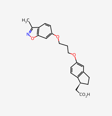 Cc1noc2cc(OCCCOc3ccc4c(c3)CC[C@H]4CC(=O)O)ccc12